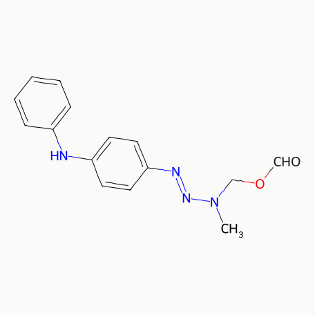 CN(COC=O)/N=N/c1ccc(Nc2ccccc2)cc1